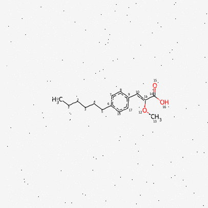 CCCCCCc1ccc(C=C(OC)C(=O)O)cc1